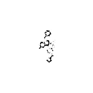 O=C(c1ccco1)N1CCN(c2c([N+](=O)[O-])c(=O)n(Cc3ccccc3)c3ccc(Cl)cc23)CC1